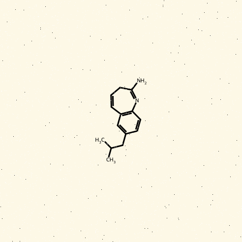 CC(C)Cc1ccc2c(c1)C=CCC(N)=N2